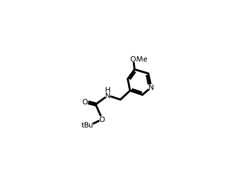 COc1cncc(CNC(=O)OC(C)(C)C)c1